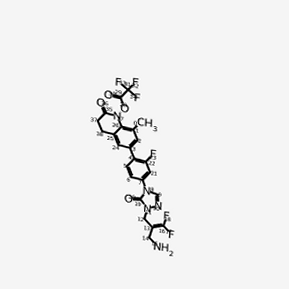 Cc1cc(-c2ccc(-n3cnn(CC(CN)=C(F)F)c3=O)cc2F)cc2c1N(OC(=O)C(F)(F)F)C(=O)CC2